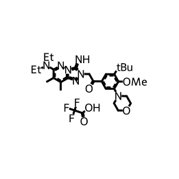 CCN(CC)c1nn2c(=N)n(CC(=O)c3cc(N4CCOCC4)c(OC)c(C(C)(C)C)c3)nc2c(C)c1C.O=C(O)C(F)(F)F